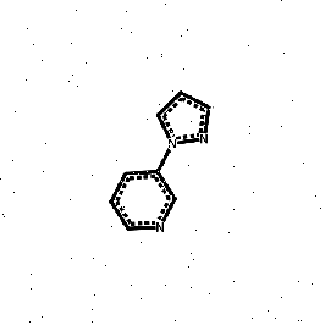 [c]1ccn(-c2cccnc2)n1